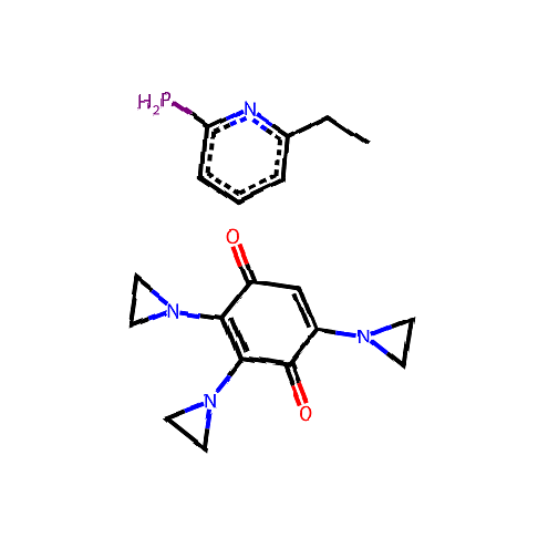 CCc1cccc(P)n1.O=C1C=C(N2CC2)C(=O)C(N2CC2)=C1N1CC1